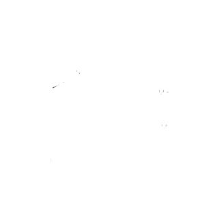 COc1cc2c3c(c4cc(O)ccc4c2cc1OC)C[C@@H]1CCCN1C3